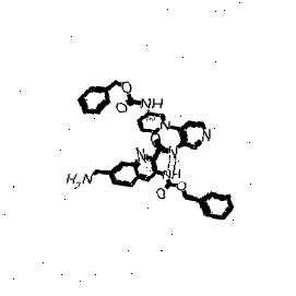 NCc1ccc2cc(NC(=O)OCc3ccccc3)c(C(=O)Nc3cnccc3N3CCC[C@H](NC(=O)OCc4ccccc4)C3)nc2c1